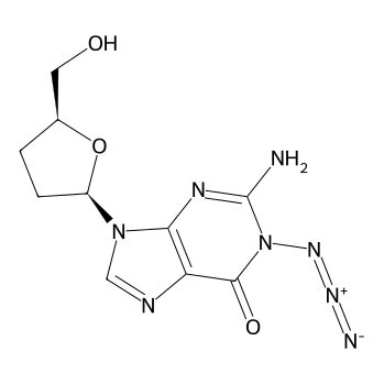 [N-]=[N+]=Nn1c(N)nc2c(ncn2[C@H]2CC[C@@H](CO)O2)c1=O